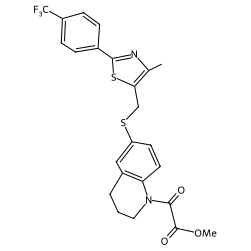 COC(=O)C(=O)N1CCCc2cc(SCc3sc(-c4ccc(C(F)(F)F)cc4)nc3C)ccc21